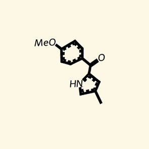 COc1ccc(C(=O)c2cc(C)c[nH]2)cc1